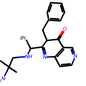 CC(C)C(NCC(C)(C)N)C1=Nc2ccncc2C(=O)C1Cc1ccccc1